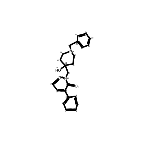 O=c1c(-c2ccccc2)ccnn1CC1(O)CCN(Cc2ccccc2)CC1